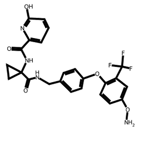 NOc1ccc(Oc2ccc(CNC(=O)C3(NC(=O)c4cccc(O)n4)CC3)cc2)c(C(F)(F)F)c1